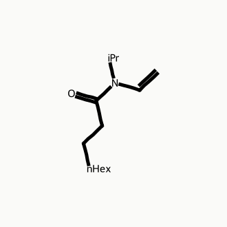 C=CN(C(=O)CCCCCCCC)C(C)C